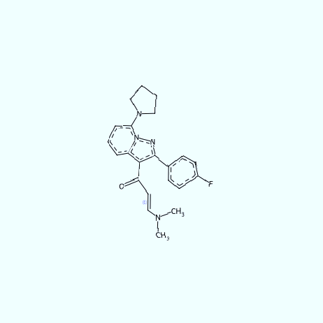 CN(C)/C=C/C(=O)c1c(-c2ccc(F)cc2)nn2c(N3CCCC3)cccc12